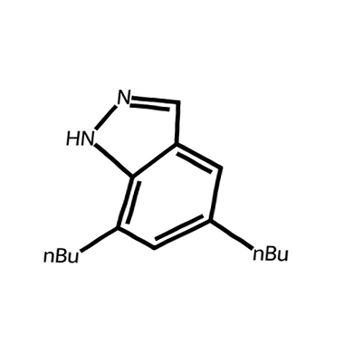 CCCCc1cc(CCCC)c2[nH]ncc2c1